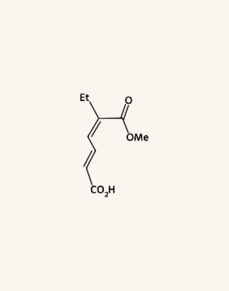 CCC(=CC=CC(=O)O)C(=O)OC